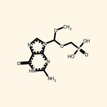 COC(OCP(=O)(O)O)n1cnc2c(=O)[nH]c(N)nc21